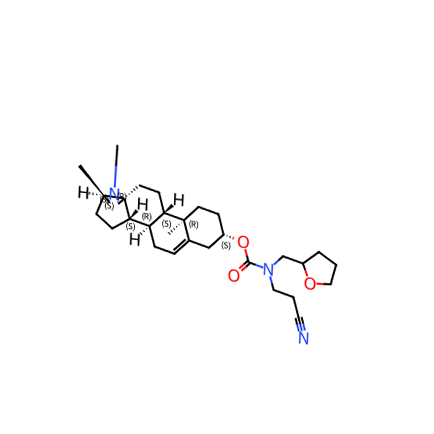 C[C@H]1[C@H]2CC[C@H]3[C@@H]4CC=C5C[C@@H](OC(=O)N(CCC#N)CC6CCCO6)CC[C@]5(C)[C@H]4CC[C@]23CN1C